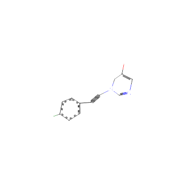 OC1=CN=CN(C#Cc2ccc(Br)cc2)C1